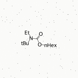 CCCCCCOC(=O)N(CC)C(C)(C)C